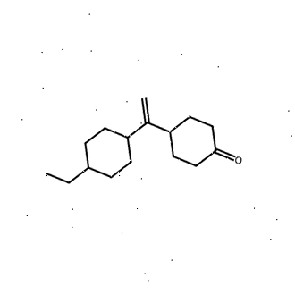 C=C(C1CCC(=O)CC1)C1CCC(CC)CC1